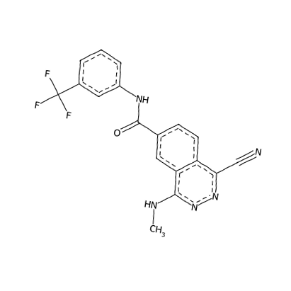 CNc1nnc(C#N)c2ccc(C(=O)Nc3cccc(C(F)(F)F)c3)cc12